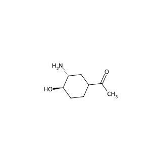 CC(=O)C1CC[C@@H](O)[C@H](N)C1